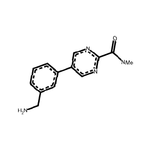 CNC(=O)c1ncc(-c2cccc(CN)c2)cn1